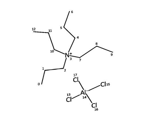 CCC[N+](CCC)(CCC)CCC.[Cl][Al-]([Cl])([Cl])[Cl]